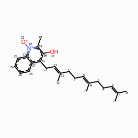 CC(C)=CCC/C(C)=C/CC/C(C)=C/Cc1c(O)c(C)[n+]([O-])c2ccccc12